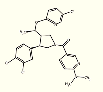 C[C@@H](Oc1ccc(Cl)cn1)[C@@H]1CN(C(=O)c2ccc(N(C)C)nc2)C[C@H]1c1ccc(Cl)c(Cl)c1